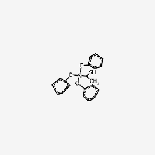 CC(S)[Si](Oc1ccccc1)(Oc1ccccc1)Oc1ccccc1